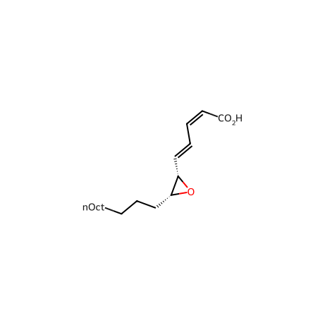 CCCCCCCCCCC[C@H]1O[C@H]1C=C/C=C\C(=O)O